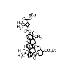 C=C(C)[C@@H]1CC[C@]2(C(=O)N3CCC(C(=O)OCC)CC3)CC[C@]3(C)[C@H](CC[C@@H]4[C@@]5(C)CC[C@H](OC(=O)[C@H]6C[C@@H](C(=O)OCCCC)C6(C)C)C(C)(C)[C@@H]5CC[C@]43C)[C@@H]12